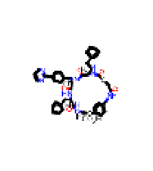 O=C1CCC(=O)N[C@H](CCc2ccccc2)C(=O)N[C@@H](Cc2ccc(-c3ncccn3)cc2)C(=O)N[C@H](Cc2ccccc2)C(=O)N[C@H](C(=O)O)Cc2ccc(cc2)N1